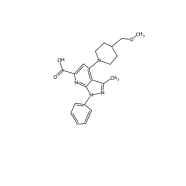 COCC1CCN(c2cc(C(=O)O)nc3c2c(C)nn3-c2ccccc2)CC1